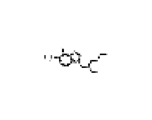 CCCCC(CC)Cn1nnc2c(C)c(N)ccc21